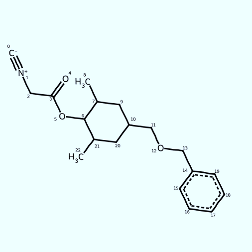 [C-]#[N+]CC(=O)OC1C(C)CC(COCc2ccccc2)CC1C